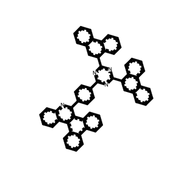 c1ccc2c(c1)cc(-c1nc(-c3ccc(-c4nc5ccccc5c5c6ccccc6c6ccccc6c45)cc3)nc(-c3cc4ccccc4c4ccccc34)n1)c1ccccc12